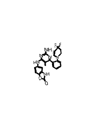 Cc1c(Nc2ccc3oc(=O)[nH]c3c2)nc(N)nc1-c1ccccc1N1CCC(F)(F)CC1